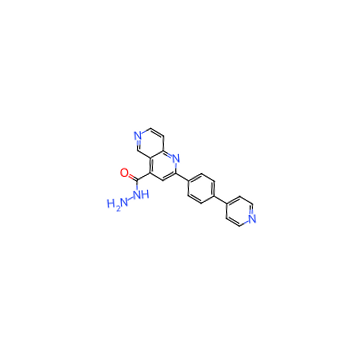 NNC(=O)c1cc(-c2ccc(-c3ccncc3)cc2)nc2ccncc12